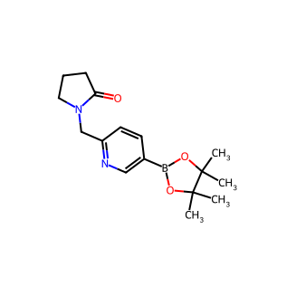 CC1(C)OB(c2ccc(CN3CCCC3=O)nc2)OC1(C)C